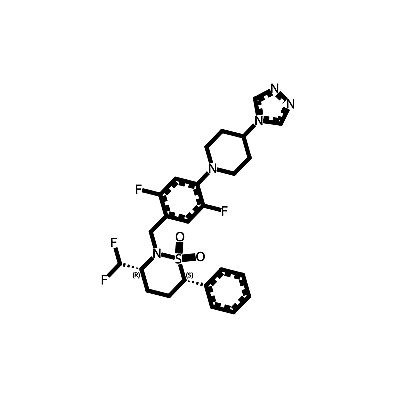 O=S1(=O)[C@H](c2ccccc2)CC[C@H](C(F)F)N1Cc1cc(F)c(N2CCC(n3cnnc3)CC2)cc1F